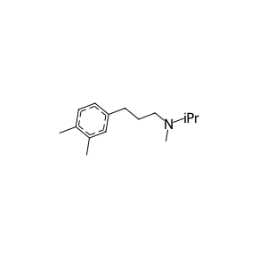 Cc1ccc(CCCN(C)C(C)C)cc1C